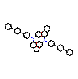 C1=Cc2ccc(N(c3ccc(-c4ccc(-c5ccccc5)cc4)cc3)c3ccccc3-c3ccccc3N(c3ccc(-c4ccc(-c5ccccc5)cc4)cc3)c3ccc4ccccc4c3)cc2C1